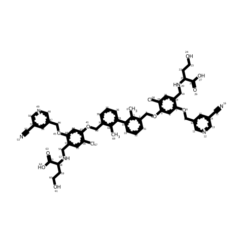 Cc1c(COc2cc(OCc3cncc(C#N)c3)c(CNC(CCO)C(=O)O)cc2Cl)cccc1-c1cccc(COc2cc(OCc3cncc(C#N)c3)c(CNC(CCO)C(=O)O)cc2Cl)c1C